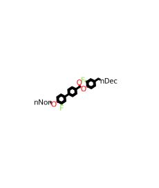 CCCCCCCCCCCc1ccc(OC(=O)c2ccc(-c3ccc(OCCCCCCCCC)c(F)c3)cc2)c(F)c1